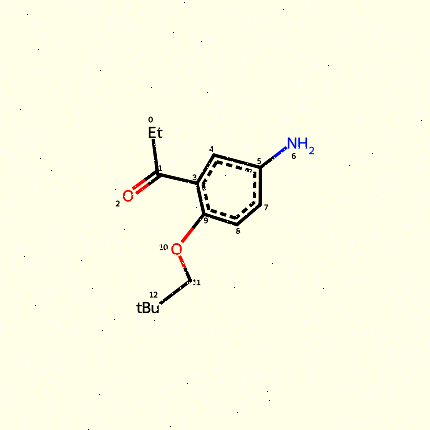 CCC(=O)c1cc(N)ccc1OCC(C)(C)C